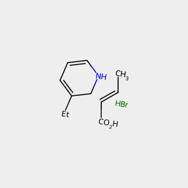 Br.C/C=C/C(=O)O.CCC1=CC=CNC1